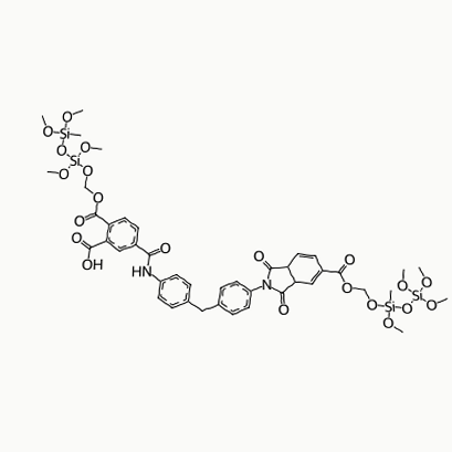 CO[Si](C)(OCOC(=O)C1=CC2C(=O)N(c3ccc(Cc4ccc(NC(=O)c5ccc(C(=O)OCO[Si](OC)(OC)O[Si](C)(OC)OC)c(C(=O)O)c5)cc4)cc3)C(=O)C2C=C1)O[Si](OC)(OC)OC